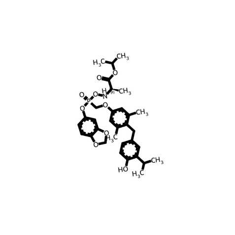 Cc1cc(OCP(=O)(ON[C@H](C)C(=O)OC(C)C)Oc2ccc3c(c2)OCO3)cc(C)c1Cc1ccc(O)c(C(C)C)c1